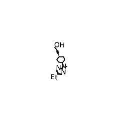 CCc1cnc(N(C)[C@H]2CC[C@H](C#CCO)CC2)nc1